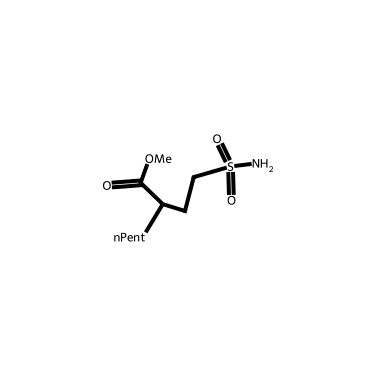 CCCCCC(CCS(N)(=O)=O)C(=O)OC